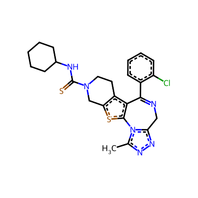 Cc1nnc2n1-c1sc3c(c1C(c1ccccc1Cl)=NC2)CCN(C(=S)NC1CCCCC1)C3